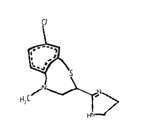 CN1CC(C2=NCCN2)Sc2cc(Cl)ccc21